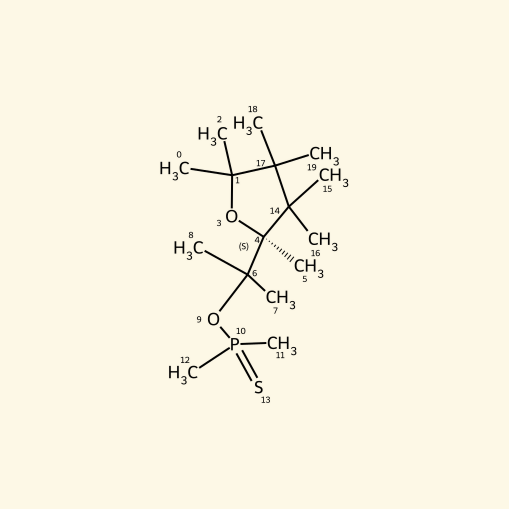 CC1(C)O[C@](C)(C(C)(C)OP(C)(C)=S)C(C)(C)C1(C)C